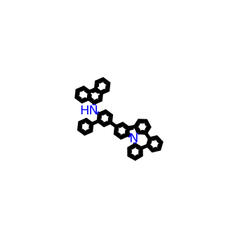 c1ccc(-c2cc(-c3ccc4c(c3)c3cccc5c3n4-c3ccccc3-c3ccccc3-5)ccc2Nc2cc3ccccc3c3ccccc23)cc1